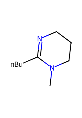 CCCCC1=NCCCN1C